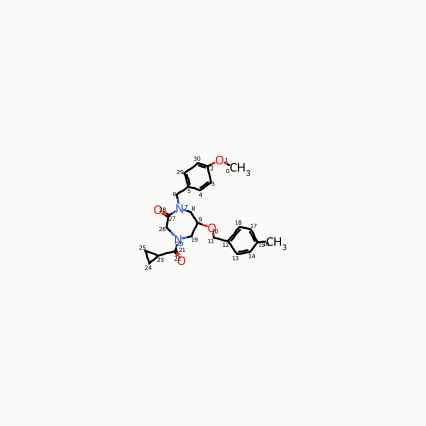 COc1ccc(CN2CC(OCc3ccc(C)cc3)CN(C(=O)C3CC3)CC2=O)cc1